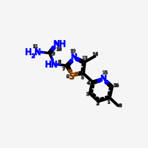 Cc1ccc(-c2sc(NC(=N)N)nc2C)nc1